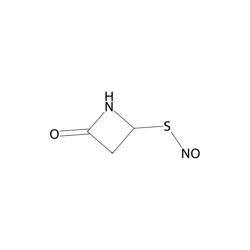 O=NSC1CC(=O)N1